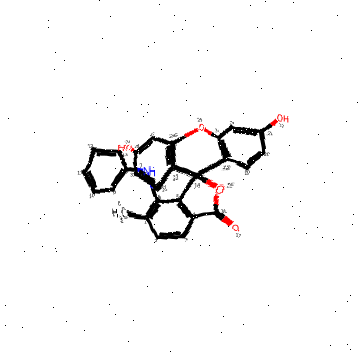 Cc1ccc2c(c1Nc1ccccc1)C1(OC2=O)c2ccc(O)cc2Oc2cc(O)ccc21